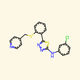 Clc1cccc(Nc2nnc(-c3ccccc3SCc3ccncc3)s2)c1